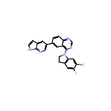 Fc1cc2c(cc1Cl)N(c1ncnc3ccc(-c4cnc5[nH]ccc5c4)cc13)CC2